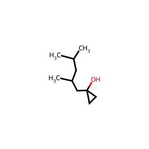 CC(C)CC(C)CC1(O)CC1